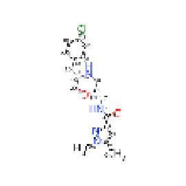 Cc1cc(C(=O)NC[C@H]2CN[C@@H](Cc3ccc(Cl)cc3)CO2)nn1C